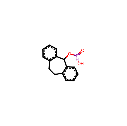 O=[PH](O)OC1c2ccccc2CCc2ccccc21